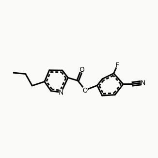 CCCc1ccc(C(=O)Oc2ccc(C#N)c(F)c2)nc1